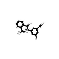 N#Cc1cc(F)cc(NC(=O)c2ccccc2C(=O)O)c1